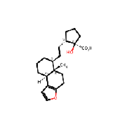 C[C@@]12CCc3occc3[C@H]1CCC[C@H]2CC[C@@H]1CCC[C@]1(O)C(=O)O